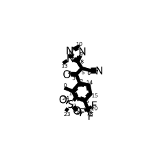 Cc1c(C(=O)C(C#N)c2ncnn2C)ccc(C(F)(F)F)c1S(C)(=O)=O